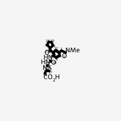 CNC(=O)Cc1ccc(NC(=O)Nc2nc(CC(=O)O)cs2)c(C(=O)C2CCCC2)c1